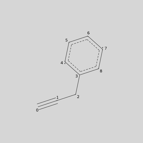 C#CCc1[c]cc[c]c1